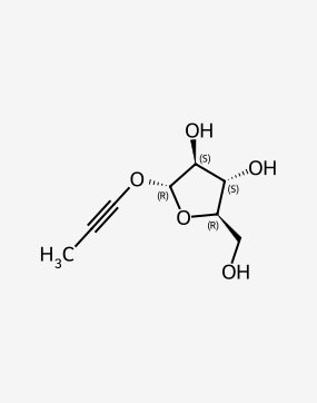 CC#CO[C@H]1O[C@H](CO)[C@@H](O)[C@@H]1O